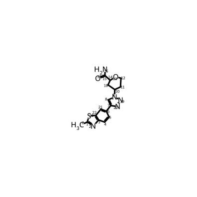 Cc1nc2ccc(-c3cn(C4CCOC(C(N)=O)C4)nn3)cc2s1